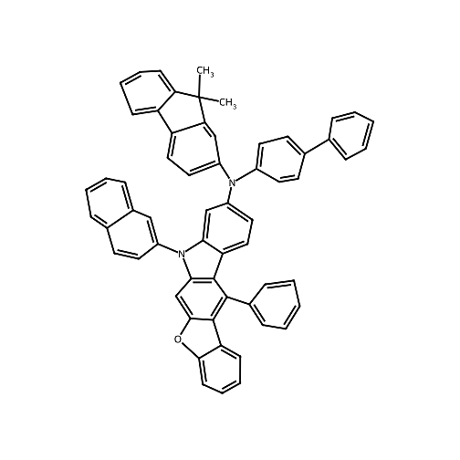 CC1(C)c2ccccc2-c2ccc(N(c3ccc(-c4ccccc4)cc3)c3ccc4c5c(-c6ccccc6)c6c(cc5n(-c5ccc7ccccc7c5)c4c3)oc3ccccc36)cc21